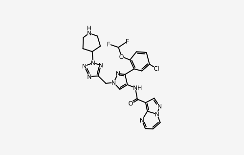 O=C(Nc1cn(Cc2nnn(C3CCNCC3)n2)nc1-c1cc(Cl)ccc1OC(F)F)c1cnn2cccnc12